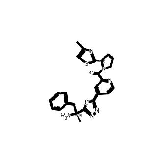 Cc1csc([C@H]2CCCN2C(=O)c2cc(-c3nnc([C@](C)(N)Cc4ccccc4)o3)ccn2)n1